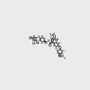 CN(C(=O)OC(C)(C)C)c1cc(Oc2ccc(N)cc2)ccc1NC(=O)COc1ccc(CC2SC(=O)NC2=O)cc1